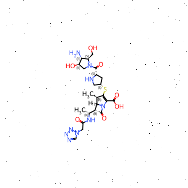 C[C@@H](NC(=O)Cn1cnnn1)[C@H]1C(=O)N2C(C(=O)O)=C(S[C@@H]3CN[C@H](C(=O)N4C[C@@H](O)[C@H](N)[C@H]4CO)C3)[C@H](C)[C@H]12